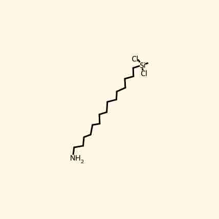 C[Si](Cl)(Cl)CCCCCCCCCCCCCCCN